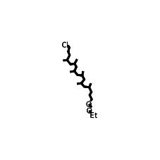 CCOCOCCCC(C)CC(C)CC(C)CC(C)CC(C)CC(C)CCCCl